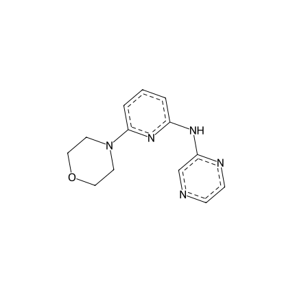 c1cc(Nc2cnccn2)nc(N2CCOCC2)c1